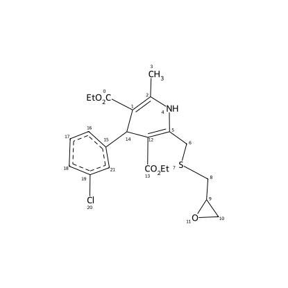 CCOC(=O)C1=C(C)NC(CSCC2CO2)=C(C(=O)OCC)C1c1cccc(Cl)c1